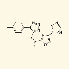 Cc1ccc(-n2nnnc2SC(C)c2nc(-c3nnc[nH]3)no2)cc1